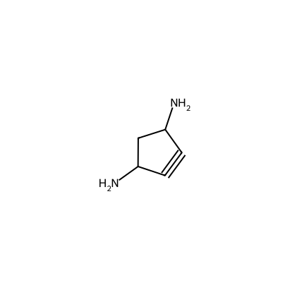 NC1C#CC(N)C1